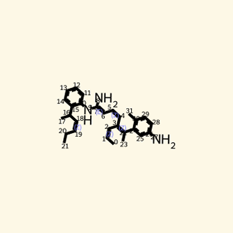 C\C=C/C(/C=C\C=C(/N)Nc1ccccc1C(C)/C=C\CC)=C(\C)c1cc(N)ccc1C